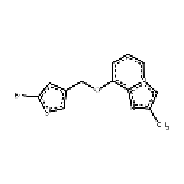 Cc1cn2cccc(OCc3csc(Br)c3)c2n1